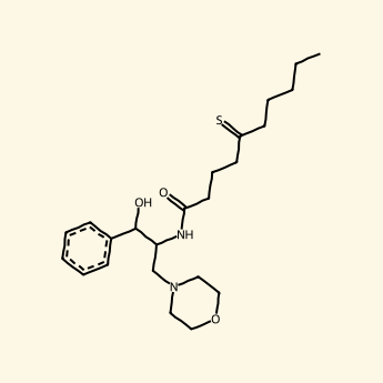 CCCCCC(=S)CCCC(=O)NC(CN1CCOCC1)C(O)c1ccccc1